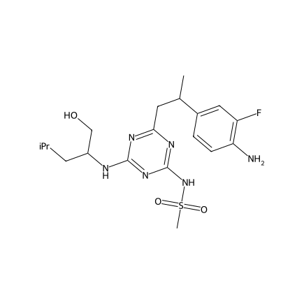 CC(C)CC(CO)Nc1nc(CC(C)c2ccc(N)c(F)c2)nc(NS(C)(=O)=O)n1